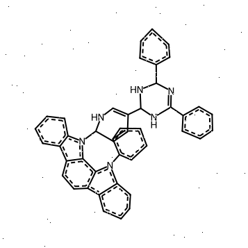 C1=CC(n2c3ccccc3c3ccc4c5ccccc5n(-c5ccccc5)c4c32)NC=C1C1NC(c2ccccc2)=NC(c2ccccc2)N1